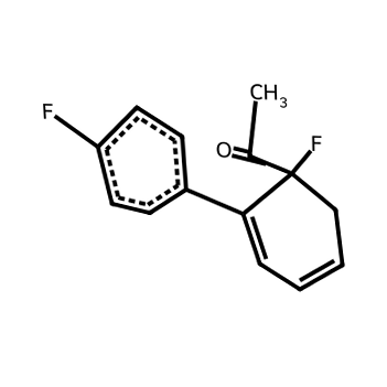 CC(=O)C1(F)CC=CC=C1c1ccc(F)cc1